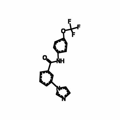 O=C(Nc1ccc(OC(F)(F)F)cc1)c1cccc(-n2ccnc2)c1